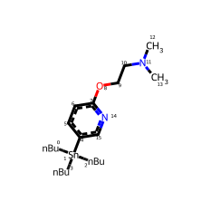 CCC[CH2][Sn]([CH2]CCC)([CH2]CCC)[c]1ccc(OCCN(C)C)nc1